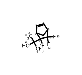 OC(C(F)(F)F)(C(F)(F)F)C1(F)C2C=CC(C2)C1(F)F